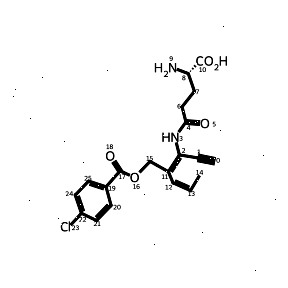 C#C/C(NC(=O)CC[C@H](N)C(=O)O)=C(\C=C/C)COC(=O)c1ccc(Cl)cc1